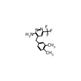 Cc1ccc(Cc2cc(C(F)(F)F)nnc2N)cc1C